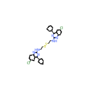 Clc1ccc2nc(NCCSSCCNc3nc(-c4ccccc4)c4cc(Cl)ccc4n3)nc(-c3ccccc3)c2c1